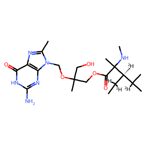 [2H]C([2H])(C)[C@]([2H])(C([2H])(C)C)C(C)(NC)C(=O)OCC(C)(CO)OCn1c(C)nc2c(=O)[nH]c(N)nc21